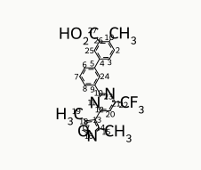 Cc1ccc(-c2cccc(-c3nc(-c4c(C)noc4C)cc(C(F)(F)F)n3)c2)cc1C(=O)O